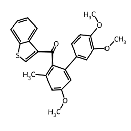 COc1cc(C)c(C(=O)c2csc3ccccc23)c(-c2ccc(OC)c(OC)c2)c1